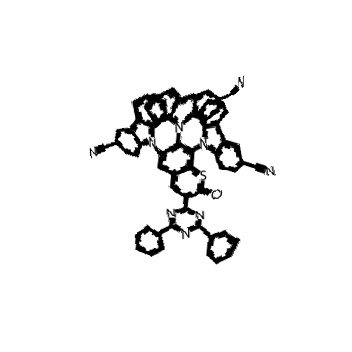 N#Cc1ccc2c(c1)c1ccccc1n2-c1cc2cc(-c3nc(-c4ccccc4)nc(-c4ccccc4)n3)c(=O)sc2c(-n2c3ccccc3c3cc(C#N)ccc32)c1-n1c2ccccc2c2cc(C#N)ccc21